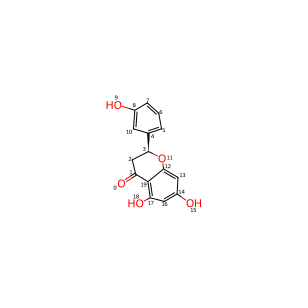 O=C1C[C@@H](c2cccc(O)c2)Oc2cc(O)cc(O)c21